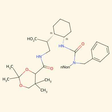 CCCCCCCCCN(Cc1ccccc1)C(=O)N[C@H]1CCCC[C@H]1C(CNC(=O)C1OC(C)(C)OCC1(C)C)C(=O)O